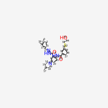 Cc1ccc(/C=N/NC(=O)c2cc(N3CCC(C)CC3)ccc2NC(=O)c2cccc(CSCCO)c2)cc1C